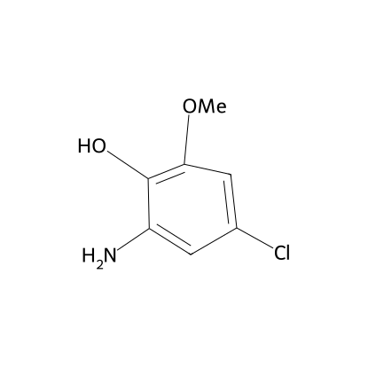 COc1cc(Cl)cc(N)c1O